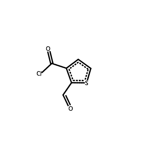 O=Cc1sccc1C(=O)Cl